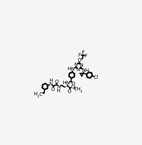 C=Cc1cccc(NC(=O)C(=O)NCC[C@@H](NC(=O)c2ccc(Nc3nc(NC4(c5ccc(Cl)cc5)CC4)nc(OCC(F)(F)F)n3)cc2)C(=O)OC)c1